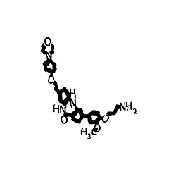 COc1cc(C2=CC3=C(CC2)C(=O)Nc2cc(CCOc4ccc(N5CCOCC5)cc4)ccc2N3)ccc1OCCCN